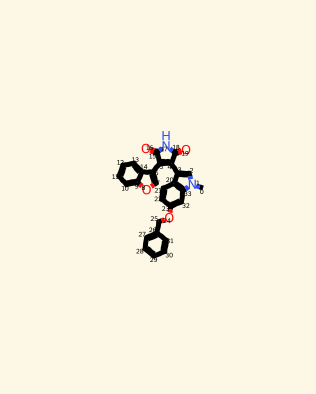 Cn1cc(C2=C(c3coc4ccccc34)C(=O)NC2=O)c2ccc(OCc3ccccc3)cc21